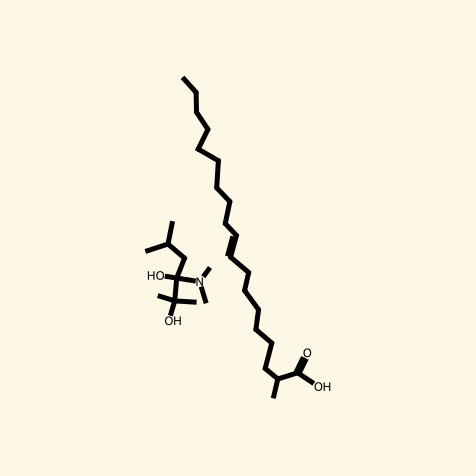 CC(C)CC(O)(N(C)C)C(C)(C)O.CCCCCCCCCC=CCCCCCCC(C)C(=O)O